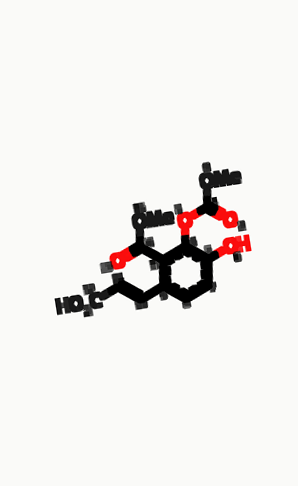 COC(=O)Oc1c(O)ccc(C=CC(=O)O)c1C(=O)OC